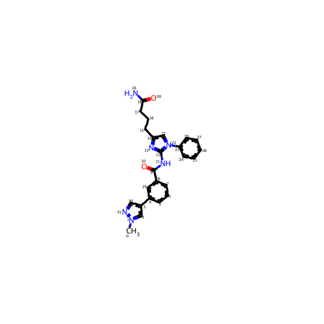 Cn1cc(-c2cccc(C(=O)Nc3nc(CCCC(N)=O)cn3-c3ccccc3)c2)cn1